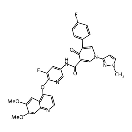 COc1cc2nccc(Oc3ncc(NC(=O)c4cn(-c5ccn(C)n5)cc(-c5ccc(F)cc5)c4=O)cc3F)c2cc1OC